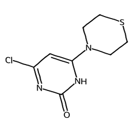 O=c1nc(Cl)cc(N2CCSCC2)[nH]1